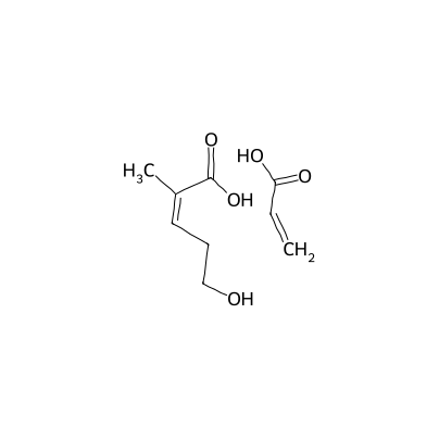 C=CC(=O)O.CC(=CCCO)C(=O)O